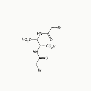 O=C(CBr)NC(C(=O)O)C(NC(=O)CBr)C(=O)O